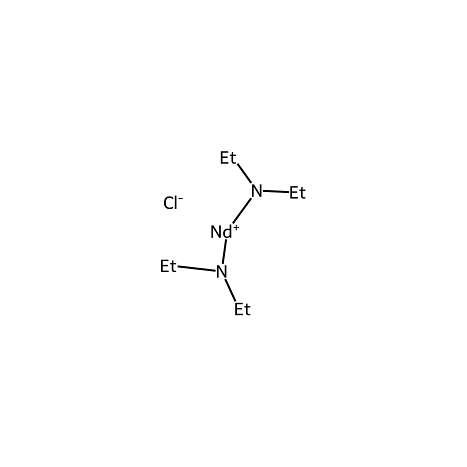 CC[N](CC)[Nd+][N](CC)CC.[Cl-]